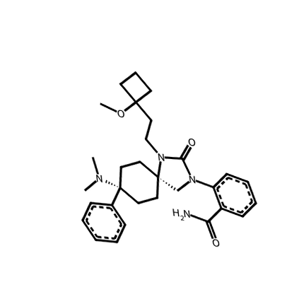 COC1(CCN2C(=O)N(c3ccccc3C(N)=O)C[C@]23CC[C@@](c2ccccc2)(N(C)C)CC3)CCC1